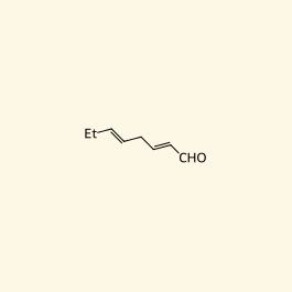 CCC=CCC=CC=O